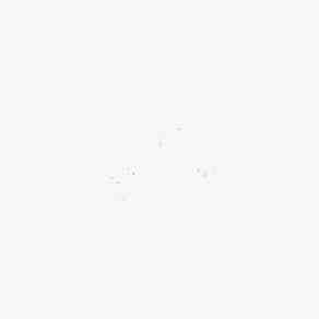 Cc1ccc(N)c(C(=O)c2ccn(C)n2)c1